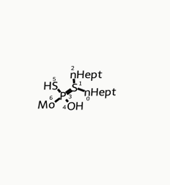 CCCCCCCS(CCCCCCC)=[P](O)(S)[Mo]